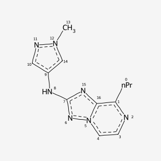 CCCc1nccn2nc(Nc3cnn(C)c3)nc12